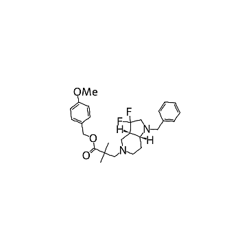 COc1ccc(COC(=O)C(C)(C)CN2CC[C@@H]3[C@H](C2)C(F)(F)CN3Cc2ccccc2)cc1